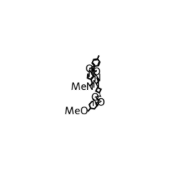 CNC1c2ccn(S(=O)(=O)c3ccc(C)cc3)c2N=CN1[C@H]1C[C@H](CS(=O)(=O)N2CCC(COC)CC2)C1